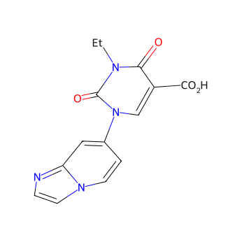 CCn1c(=O)c(C(=O)O)cn(-c2ccn3ccnc3c2)c1=O